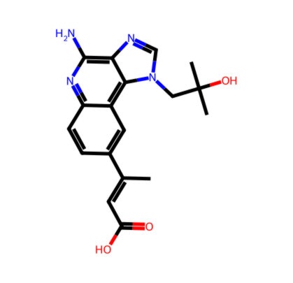 C/C(=C\C(=O)O)c1ccc2nc(N)c3ncn(CC(C)(C)O)c3c2c1